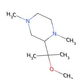 COC(C)(C)C1CN(C)CCN1C